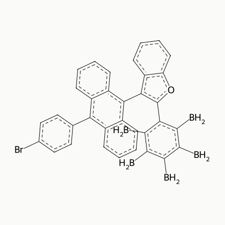 Bc1c(B)c(B)c(-c2oc3ccccc3c2-c2c3ccccc3c(-c3ccc(Br)cc3)c3ccccc23)c(B)c1B